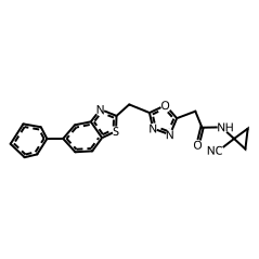 N#CC1(NC(=O)Cc2nnc(Cc3nc4cc(-c5ccccc5)ccc4s3)o2)CC1